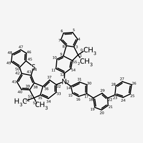 CC1(C)c2ccccc2-c2ccc(N(c3ccc(-c4cccc(-c5ccccc5)c4)cc3)c3ccc4c(c3)-c3c(ccc5c3sc3ccccc35)C4(C)C)cc21